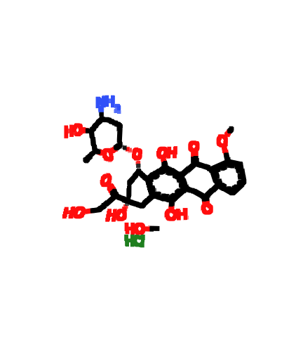 CO.COc1cccc2c1C(=O)c1c(O)c3c(c(O)c1C2=O)C[C@@](O)(C(=O)CO)C[C@@H]3O[C@H]1C[C@H](N)[C@H](O)[C@H](C)O1.Cl